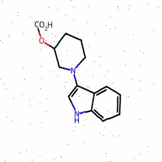 O=C(O)OC1CCCN(c2c[nH]c3ccccc23)C1